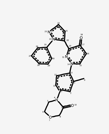 Cc1cc(N2CCOCC2=O)ccc1-n1ccc(=O)c(-c2ccnn2-c2ccccc2)n1